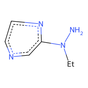 CCN(N)c1cnccn1